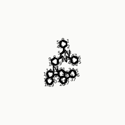 c1ccc(-c2cc(-c3cccc(-n4c5ccc6ccccc6c5c5c6cccc7c6c(cc54)-c4ccccc4-7)c3)nc(-c3ccccc3)n2)cc1